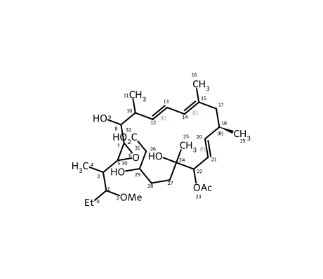 CCC(OC)C(C)C1OC1C(O)C(C)/C=C/C=C(\C)C[C@@H](C)/C=C/C(OC(C)=O)C(C)(O)CCC(O)CC(=O)O